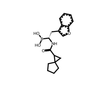 O=C(N[C@@H](Cc1coc2ccccc12)B(O)O)C1CC12CCCC2